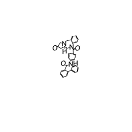 O=C1C[C@H]2CN(C(=O)c3ccc(NC(=O)c4ccccc4-c4ccccc4)cc3)c3ccccc3CN2C1